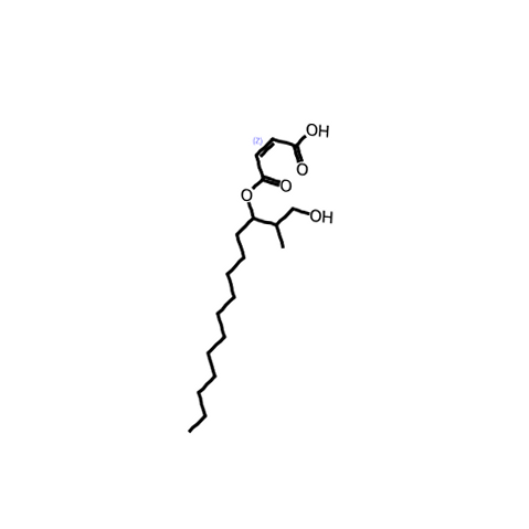 CCCCCCCCCCCC(OC(=O)/C=C\C(=O)O)C(C)CO